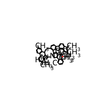 C=C1C[n+]2cc(-c3c(C)cccc3C)c(C(C)(C)C)cc2-c2c(ccc3c2oc2c3ccc3c(C)c(C)sc32)CCC2c3cc(C)ccc3-c3ccc(C)c[n+]3C12